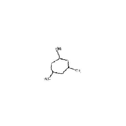 CC[CH]CC1CC(C)CC(C)C1